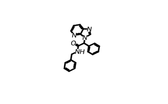 O=C(NCc1ccccc1)C(c1ccccc1)n1cnc2cccnc21